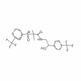 CC(C)(C(=O)NCC(O)c1ccc(C(F)(F)F)cc1)S(=O)(=O)c1cccc(C(F)(F)F)c1